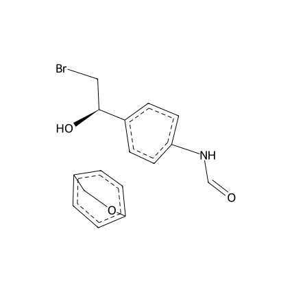 O=CNc1ccc([C@@H](O)CBr)cc1.c1cc2ccc1CO2